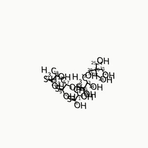 CC(O)C(O)=S.CC(O)C(O)=S.CC(O)C(O)=S.CC(O)C(O)=S.OCC(CO)(CO)CO